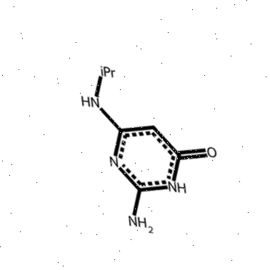 CC(C)Nc1cc(=O)[nH]c(N)n1